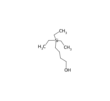 CC[Si](CC)(CC)CCCCO